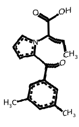 C/C=C(/C(=O)O)n1cccc1C(=O)c1cc(C)cc(C)c1